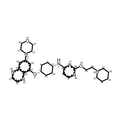 c1cc(N[C@H]2CC[C@@H](Oc3cc(N4CCOCC4)cc4nccnc34)CC2)nc(OCCN2CCCCC2)n1